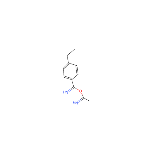 CCc1ccc(C(=N)OC(C)=N)cc1